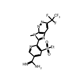 CCS(=O)(=O)c1cc(C(=N)N)cnc1-c1nc2cc(C(F)(F)C(F)(F)F)nnc2n1C